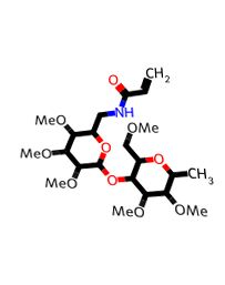 C=CC(=O)NCC1OC(OC2C(COC)OC(C)C(OC)C2OC)C(OC)C(OC)C1OC